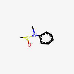 CN(c1ccccc1)[S+](C)[O-]